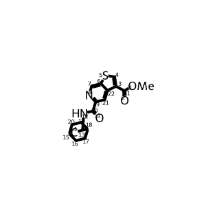 COC(=O)c1csc2cnc(C(=O)NC3CC4CCC3CC4)cc12